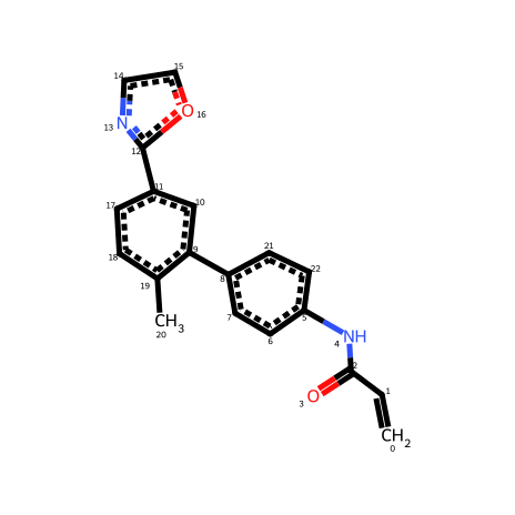 C=CC(=O)Nc1ccc(-c2cc(-c3ncco3)ccc2C)cc1